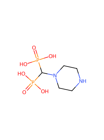 O=P(O)(O)C(N1CCNCC1)P(=O)(O)O